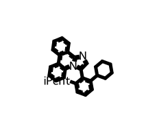 CCCC(C)c1cccc(C2CCCCC2)c1-c1cnc2c3ccccc3c3ccccc3n12